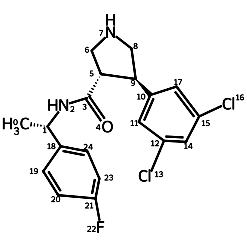 C[C@H](NC(=O)[C@@H]1CNC[C@H]1c1cc(Cl)cc(Cl)c1)c1ccc(F)cc1